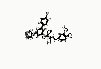 COc1ccc(CCNC(=O)Oc2cc(-c3ccc(C)cc3)cc(-n3cnnn3)c2)cc1OC